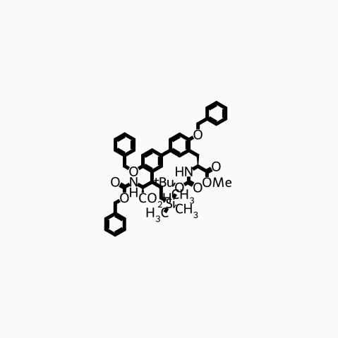 COC(=O)[C@H](Cc1cc(-c2ccc(OCc3ccccc3)c(C(CC[Si](C)(C)C)[C@H](NC(=O)OCc3ccccc3)C(=O)O)c2)ccc1OCc1ccccc1)NC(=O)OC(C)(C)C